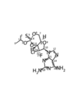 CC(C)O[P@@]1(=S)OC[C@H]2O[C@@H](n3cnc4c(N)nc(N)nc43)[C@@](F)(Cl)[C@@H]2O1